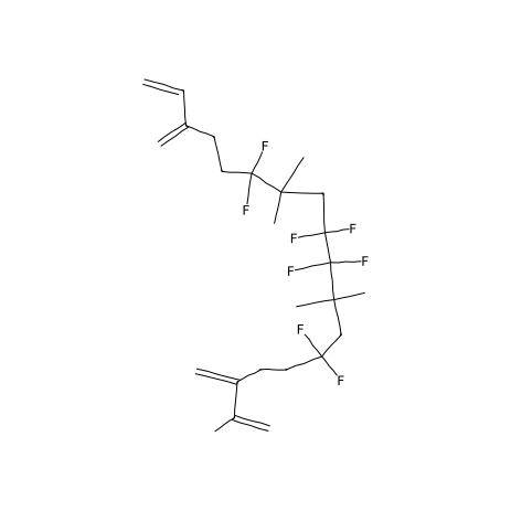 C=CC(=C)CCC(F)(F)C(C)(C)CC(F)(F)C(F)(F)C(C)(C)CC(F)(F)CCC(=C)C(=C)C